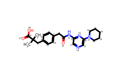 CC(C)(Cc1ccc(CC(=O)Nc2cncc(N3CCCCC3)n2)cc1)C(=O)O